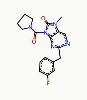 Cn1c(=O)n(C(=O)N2CCCC2)c2nc(Cc3cccc(F)c3)ncc21